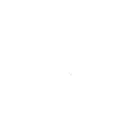 C1=CN(c2ccccc2)c2ccccc2C1c1ccccc1